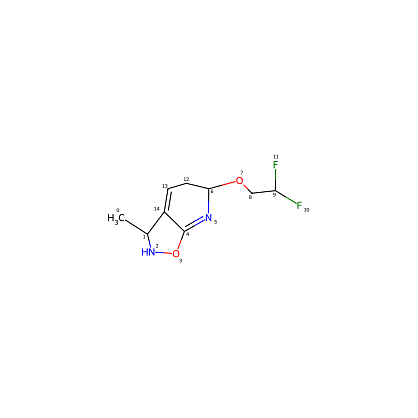 CC1NOC2=NC(OCC(F)F)CC=C21